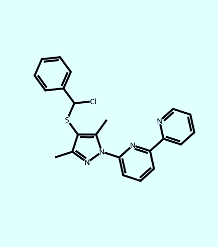 Cc1nn(-c2cccc(-c3ccccn3)n2)c(C)c1SC(Cl)c1ccccc1